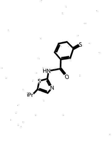 CC(C)c1cnc(NC(=O)C2=CC(=S)CC=C2)s1